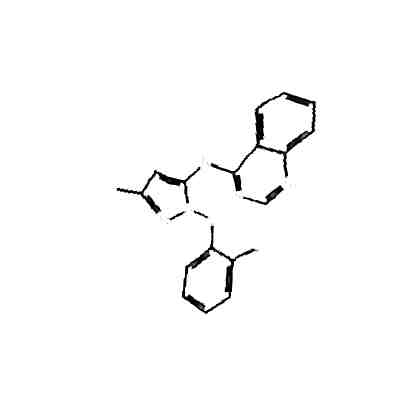 CCc1ccccc1Sn1nc(C)cc1Nc1ncnc2ccccc12